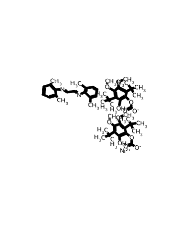 COc1c(OC)c(C(C)(C)C)c(OC(=O)[O-])c(O)c1C(C)(C)C.COc1c(OC)c(C(C)(C)C)c(OC(=O)[O-])c(O)c1C(C)(C)C.Cc1cccc(C)c1N=CC=Nc1c(C)cccc1C.[Ni+2]